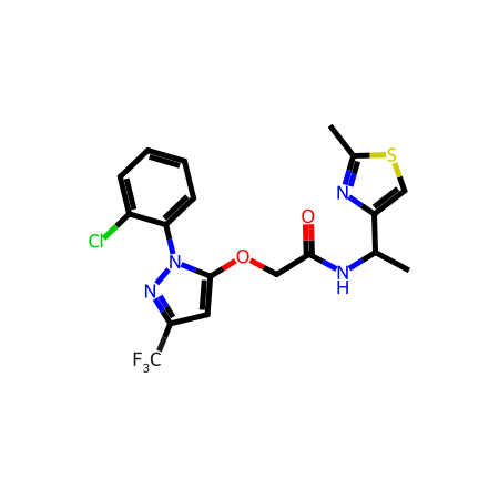 Cc1nc(C(C)NC(=O)COc2cc(C(F)(F)F)nn2-c2ccccc2Cl)cs1